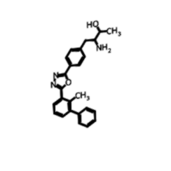 Cc1c(-c2ccccc2)cccc1-c1nnc(-c2ccc(CC(N)C(C)O)cc2)o1